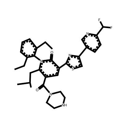 CCc1cccc(CC)c1-n1c(CC(C)C)c(C(=O)N2CCNCC2)cc(-c2nc(-c3ccc(C(F)F)nc3)cs2)c1=O